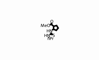 CCCNC(=S)NC1CCCC1C(=O)OC